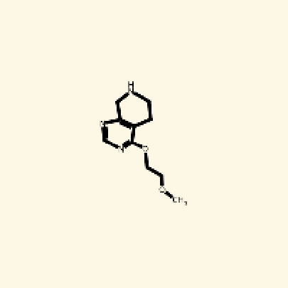 COCCOc1ncnc2c1CCNC2